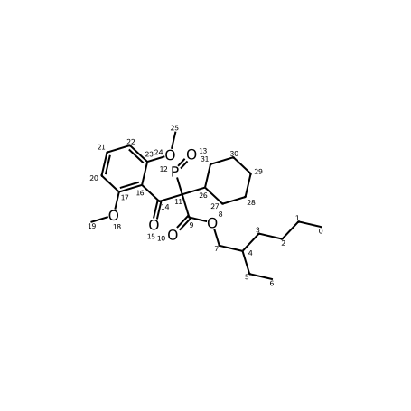 CCCCC(CC)COC(=O)C(P=O)(C(=O)c1c(OC)cccc1OC)C1CCCCC1